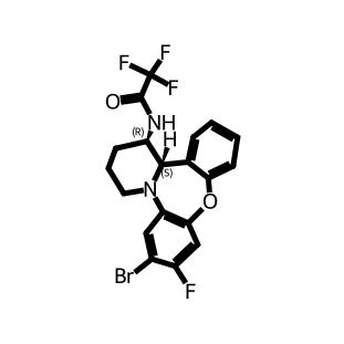 O=C(N[C@@H]1CCCN2c3cc(Br)c(F)cc3Oc3ccccc3[C@@H]12)C(F)(F)F